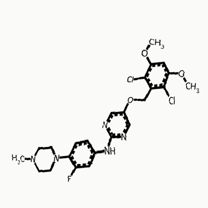 COc1cc(OC)c(Cl)c(COc2cnc(Nc3ccc(N4CCN(C)CC4)c(F)c3)nc2)c1Cl